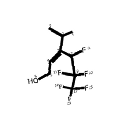 CC(C)C(=CCO)C(F)C(F)(F)C(F)(F)F